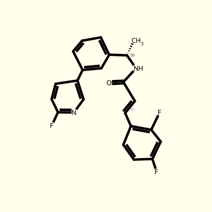 C[C@H](NC(=O)/C=C/c1ccc(F)cc1F)c1cccc(-c2ccc(F)nc2)c1